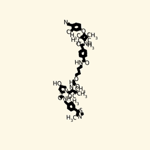 Cc1ncsc1-c1ccc(CNC(=O)[C@@H]2C[C@@H](O)CN2C(=O)[C@@H](NC(=O)COCCCCNC(=O)c2ccc(C(=O)NC3C(C)(C)C(Oc4ccc(C#N)c(Cl)c4)C3(C)C)cc2)C(C)(C)C)cc1